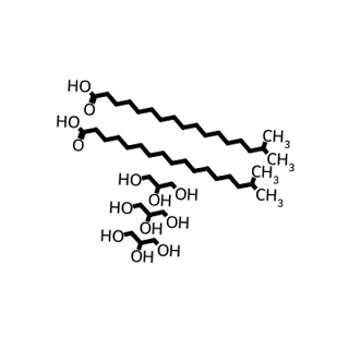 CC(C)CCCCCCCCCCCCCCC(=O)O.CC(C)CCCCCCCCCCCCCCC(=O)O.OCC(O)CO.OCC(O)CO.OCC(O)CO